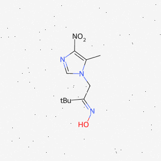 Cc1c([N+](=O)[O-])ncn1C/C(=N/O)C(C)(C)C